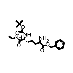 CCNC(=O)[C@@H](CCCC(N)C(=O)OCc1ccccc1)NC(=O)OC(C)(C)C